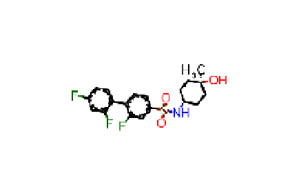 C[C@]1(O)CC[C@@H](NS(=O)(=O)c2ccc(-c3ccc(F)cc3F)c(F)c2)CC1